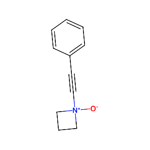 [O-][N+]1(C#Cc2ccccc2)CCC1